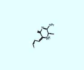 C=C1N=C(CCC)C(C)N/C1=C/C=C\C